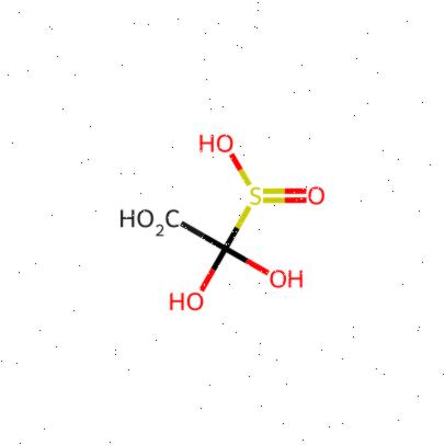 O=C(O)C(O)(O)S(=O)O